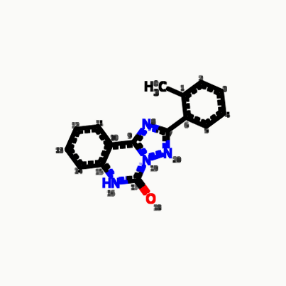 Cc1ccccc1-c1nc2c3ccccc3[nH]c(=O)n2n1